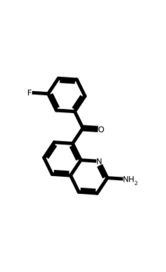 Nc1ccc2cccc(C(=O)c3cccc(F)c3)c2n1